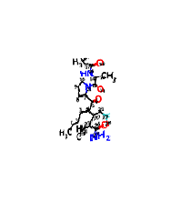 CCCCC(C(=O)C1CCCN1C(=O)C(C)NC(C)=O)C(CF)C(CC)C(N)=O